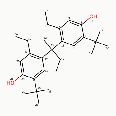 CCc1cc(O)c(C(C)(C)C)cc1C(C)(CC)c1cc(C(C)(C)C)c(O)cc1CC